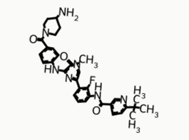 Cn1cc(-c2cccc(NC(=O)c3ccc(C(C)(C)C)nc3)c2F)nc(Nc2ccc(C(=O)N3CCC(N)CC3)cc2)c1=O